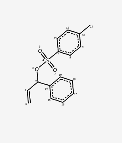 C=CC(OS(=O)(=O)c1ccc(C)cc1)c1ccccc1